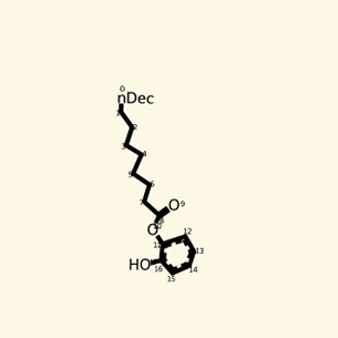 CCCCCCCCCCCCCCCCCC(=O)Oc1ccccc1O